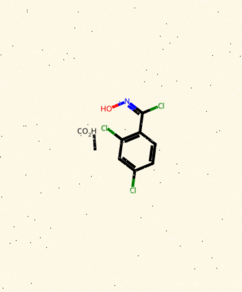 CC(=O)O.O/N=C(/Cl)c1ccc(Cl)cc1Cl